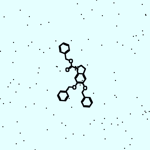 O=C(OCc1ccccc1)N1CCc2cc(OCc3ccccc3)c(OCc3ccccc3)cc21